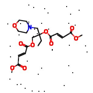 CCC(COC(=O)/C=C/C(=O)OC)(CN1CCOCC1)OC(=O)/C=C/C(=O)OC